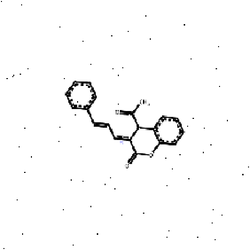 CC(=O)C1/C(=C\C=Cc2ccccc2)C(=O)Oc2ccccc21